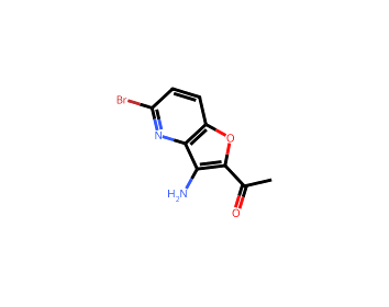 CC(=O)c1oc2ccc(Br)nc2c1N